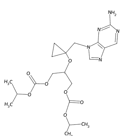 CC(C)OC(=O)OC[C](COC(=O)OC(C)C)OC1(Cn2cnc3cnc(N)nc32)CC1